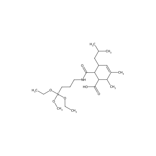 CCO[Si](CCCNC(=O)C1C(CC(C)C)C=C(C)C(C)C1C(=O)O)(OC)OCC